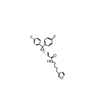 O=C(/C=C/[C@@H]1CC1(c1ccc(F)cc1)c1ccc(F)cc1)NCCCCc1ccoc1